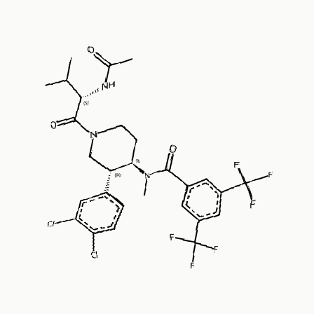 CC(=O)N[C@H](C(=O)N1CC[C@@H](N(C)C(=O)c2cc(C(F)(F)F)cc(C(F)(F)F)c2)[C@H](c2ccc(Cl)c(Cl)c2)C1)C(C)C